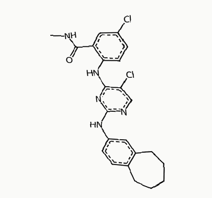 CNC(=O)c1cc(Cl)ccc1Nc1nc(Nc2ccc3c(c2)CCCCC3)ncc1Cl